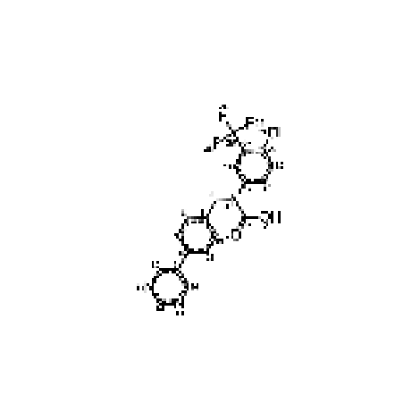 O=C(O)N(Cc1ccc(-c2cncnc2)cc1)c1ccc(Cl)c(C(F)(F)F)c1